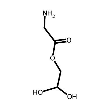 NCC(=O)OCC(O)O